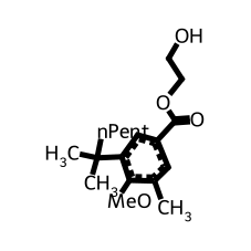 CCCCCC(C)(C)c1cc(C(=O)OCCO)cc(C)c1OC